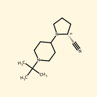 CC(C)(C)N1CCC(N2CCC[C@@H]2C#N)CC1